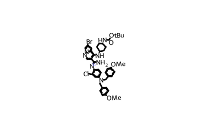 COc1ccc(CN(Cc2ccc(OC)cc2)c2ccc(/N=C(\N)c3cnn4cc(Br)cc4c3N[C@H]3CC[C@H](NC(=O)OC(C)(C)C)CC3)c(Cl)c2)cc1